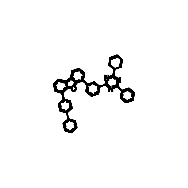 C1=CCC(c2nc(-c3ccccc3)nc(-c3cccc(-c4cccc5c4oc4c(-c6ccc(-c7ccccc7)cc6)cccc45)c3)n2)C=C1